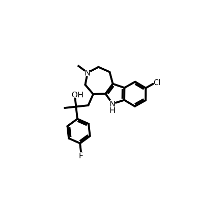 CN1CCc2c([nH]c3ccc(Cl)cc23)C(CC(C)(O)c2ccc(F)cc2)C1